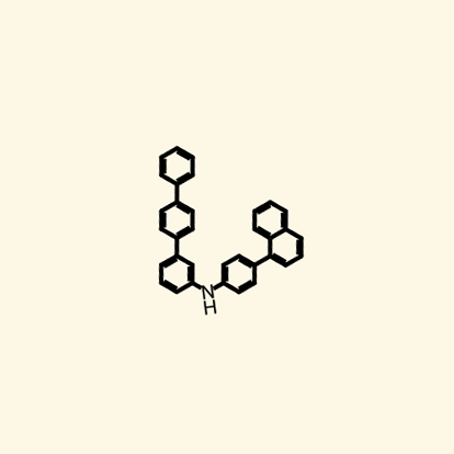 c1ccc(-c2ccc(-c3cccc(Nc4ccc(-c5cccc6ccccc56)cc4)c3)cc2)cc1